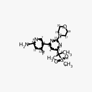 CC(C)(c1cc(-c2cnc(N)cc2F)nc(N2CCOCC2)n1)S(C)(=O)=O